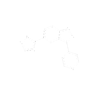 c1cc(-c2n[nH]c3ccc(-c4nc[nH]n4)cc23)ccn1